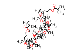 C=C(C)C(=O)OCCC[Si](C)(C)O[Si](C)(C)O[Si](C)(C)O[Si](C)(C)O[Si](C)(C)O[Si](C)(C)O[Si](C)(C)O[Si](C)(C)O[Si](C)(C)O[Si](C)(C)O[Si](C)(C)CCCOC(=O)C(=C)C